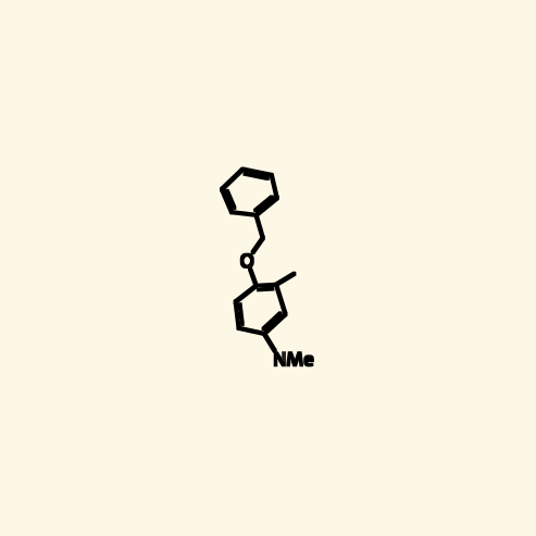 CNc1ccc(OCc2ccccc2)c(C)c1